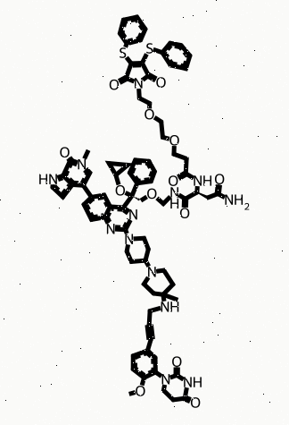 COc1ccc(C#CCNC2(C)CCN(C3CCN(c4nc([C@@](COCNC(=O)[C@H](CC(N)=O)NC(=O)CCOCCOCCN5C(=O)C(Sc6ccccc6)=C(Sc6ccccc6)C5=O)(OC5CC5)c5ccccc5)c5cc(-c6cn(C)c(=O)c7[nH]ccc67)ccc5n4)CC3)CC2)cc1N1CCC(=O)NC1=O